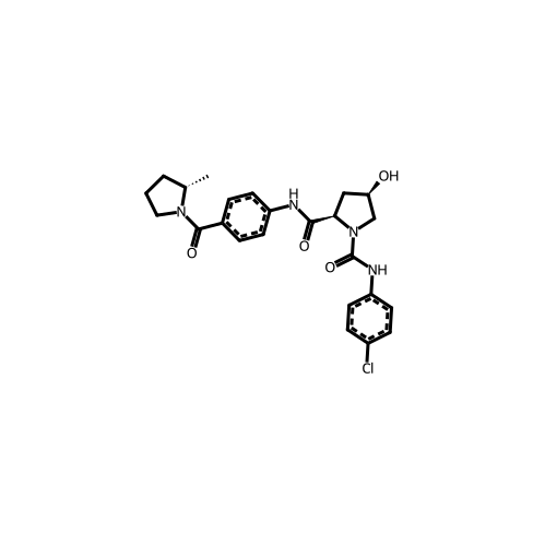 C[C@H]1CCCN1C(=O)c1ccc(NC(=O)[C@H]2C[C@@H](O)CN2C(=O)Nc2ccc(Cl)cc2)cc1